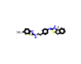 COc1ccc2nc(NCCc3ccc(/N=C4\SC5Cc6ccccc6[C@@H]5N4C)cc3)sc2c1